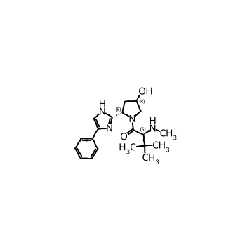 CN[C@H](C(=O)N1C[C@H](O)C[C@H]1c1nc(-c2ccccc2)c[nH]1)C(C)(C)C